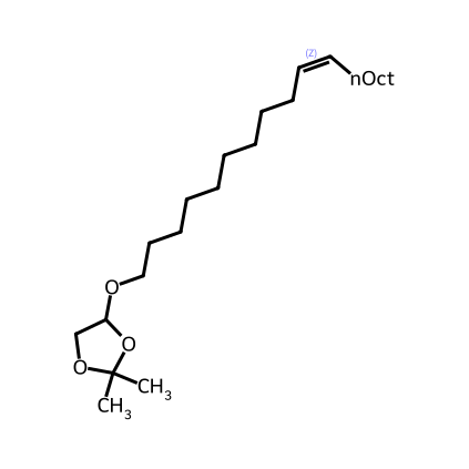 CCCCCCCC/C=C\CCCCCCCCCOC1COC(C)(C)O1